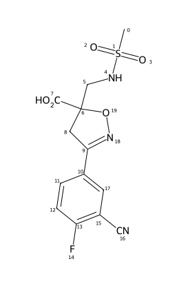 CS(=O)(=O)NCC1(C(=O)O)CC(c2ccc(F)c(C#N)c2)=NO1